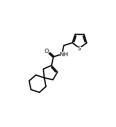 O=C(NCc1cccs1)C1=CCC2(CCCCC2)C1